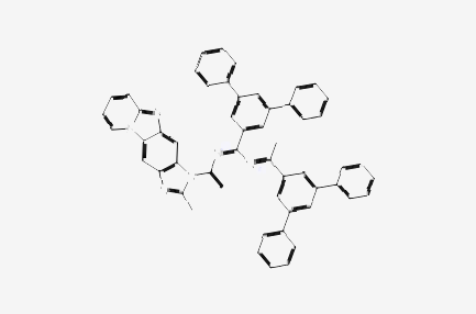 C=C(/N=C(\N=C(/C)c1cc(-c2ccccc2)cc(-c2ccccc2)c1)c1cc(-c2ccccc2)cc(-c2ccccc2)c1)n1c(C)nc2cc3c(cc21)nc1ccccn13